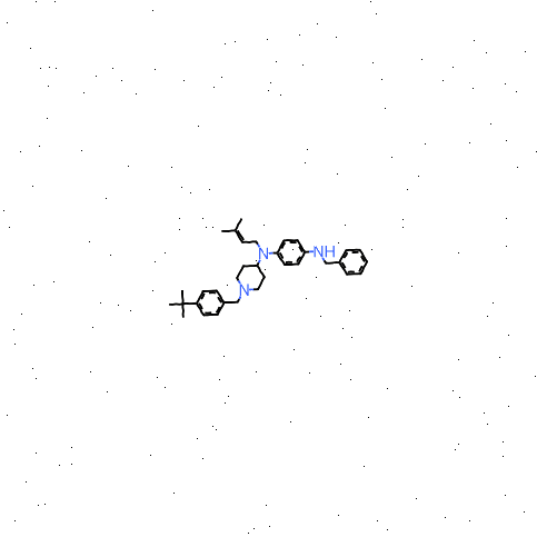 CC(C)=CCN(c1ccc(NCc2ccccc2)cc1)C1CCN(Cc2ccc(C(C)(C)C)cc2)CC1